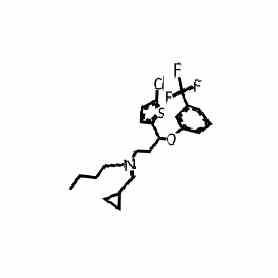 CCCCN(CCC(Oc1cccc(C(F)(F)F)c1)c1ccc(Cl)s1)CC1CC1